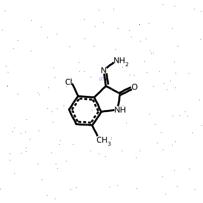 Cc1ccc(Cl)c2c1NC(=O)/C2=N\N